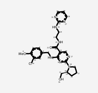 COc1ccc(CNc2nc(N3CCC[C@H]3CO)ncc2C(=O)NCCNc2ncccn2)cc1Cl